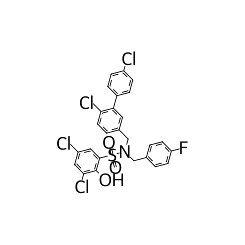 O=S(=O)(c1cc(Cl)cc(Cl)c1O)N(Cc1ccc(F)cc1)Cc1ccc(Cl)c(-c2ccc(Cl)cc2)c1